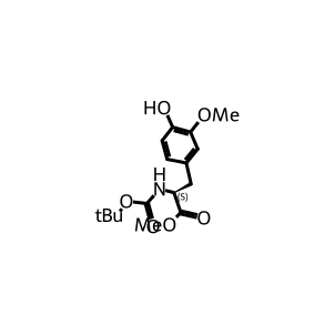 COC(=O)[C@H](Cc1ccc(O)c(OC)c1)NC(=O)OC(C)(C)C